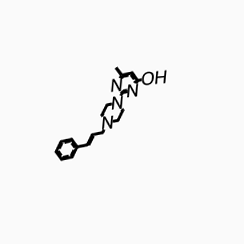 Cc1cc(O)nc(N2CCN(C/C=C/c3ccccc3)CC2)n1